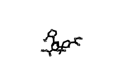 CC[C@H]1COCCN1c1cc(S(=O)OC)cc(C2(S(C)(=O)=O)CCN(C(=O)OC(C)(C)C)CC2)c1